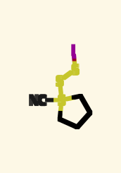 N#CS1(SSI)CCCC1